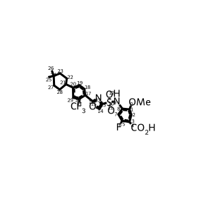 COc1cc(C(=O)O)c(F)cc1NS(=O)(=O)c1coc(-c2ccc(C3CCC(C)(C)CC3)cc2C(F)(F)F)n1